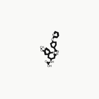 COc1ccc2c(c1)CC(NC(=O)O)Cc1nnc(C3CCC(Oc4ccccn4)CC3)n1-2